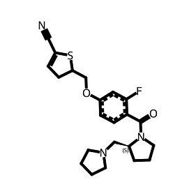 N#CC1=CCC(COc2ccc(C(=O)N3CCC[C@H]3CN3CCCC3)c(F)c2)S1